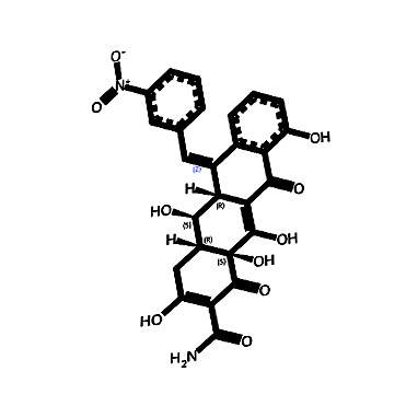 NC(=O)C1=C(O)C[C@@H]2[C@@H](O)[C@H]3C(=C(O)[C@]2(O)C1=O)C(=O)c1c(O)cccc1/C3=C\c1cccc([N+](=O)[O-])c1